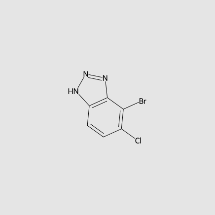 Clc1ccc2[nH]nnc2c1Br